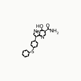 NC(=O)c1cnc2c(-c3ccc(Sc4ccccc4)cc3)cnn2c1O